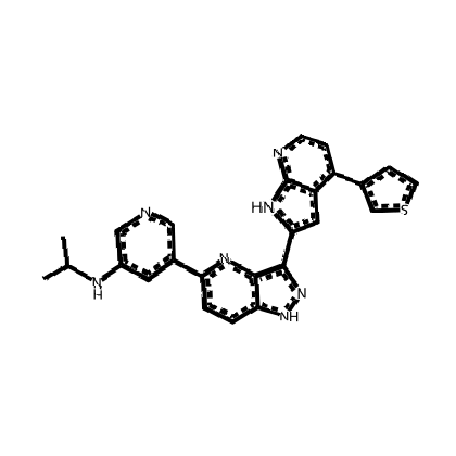 CC(C)Nc1cncc(-c2ccc3[nH]nc(-c4cc5c(-c6ccsc6)ccnc5[nH]4)c3n2)c1